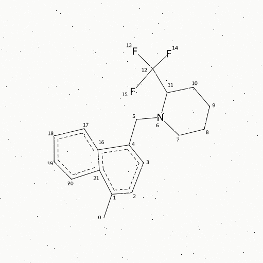 Cc1ccc(CN2CCCCC2C(F)(F)F)c2ccccc12